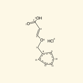 Cl.O=C(O)C=COCc1ccccc1